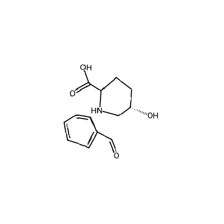 O=C(O)C1CC[C@H](O)CN1.O=Cc1ccccc1